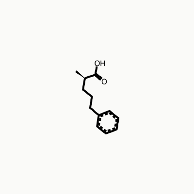 C[C@H](CCCc1ccccc1)C(=O)O